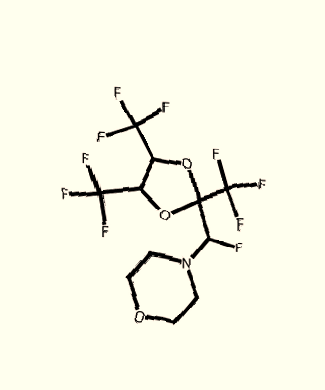 FC(N1CCOCC1)C1(C(F)(F)F)OC(C(F)(F)F)C(C(F)(F)F)O1